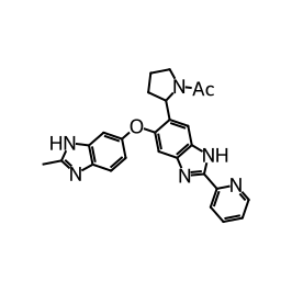 CC(=O)N1CCCC1c1cc2[nH]c(-c3ccccn3)nc2cc1Oc1ccc2nc(C)[nH]c2c1